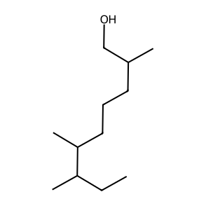 CCC(C)C(C)CCCC(C)CO